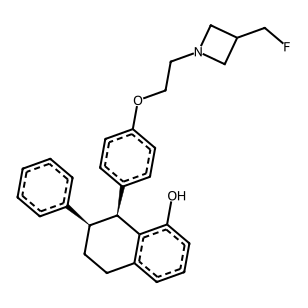 Oc1cccc2c1[C@H](c1ccc(OCCN3CC(CF)C3)cc1)[C@H](c1ccccc1)CC2